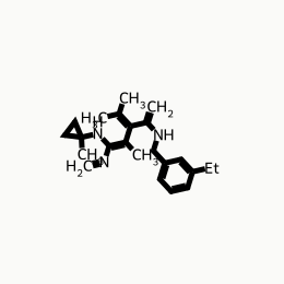 C=N/C(NC1(C)CC1)=C(\C)C(C(=C)NCc1cccc(CC)c1)=C(C)C